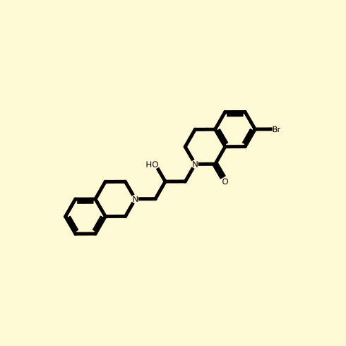 O=C1c2cc(Br)ccc2CCN1CC(O)CN1CCc2ccccc2C1